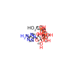 C[C@H](O)[C@@H](O[C@@H](CO)COP(=O)(O)OP(=O)(O)OP(=O)(O)OP(=O)(O)CC(=O)O)n1cnc2c(N)ncnc21